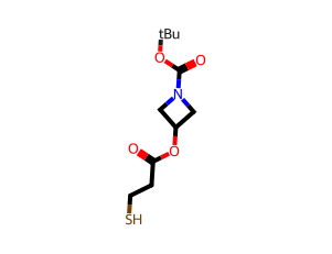 CC(C)(C)OC(=O)N1CC(OC(=O)CCS)C1